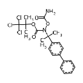 CC(C)(c1ccc(-c2ccccc2)cc1)N(OC(N)=O)C(=O)OC(C)(C)C(Cl)(Cl)Cl